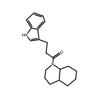 O=C(CCc1c[nH]c2ccccc12)N1CCCC2CCCCC21